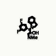 CNC[C@@H](O)[C@H](c1cc(F)cc(F)c1)N1CCc2ccccc21